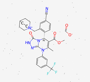 COC(=O)C1=C(C)N(c2cccc(C(F)(F)F)c2)c2n[nH]c(=O)n2[C@@H]1c1ccc(C#N)cc1C[N+]12CCC(CC1)CC2.O=C[O-]